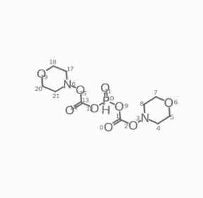 O=C(ON1CCOCC1)O[PH](=O)OC(=O)ON1CCOCC1